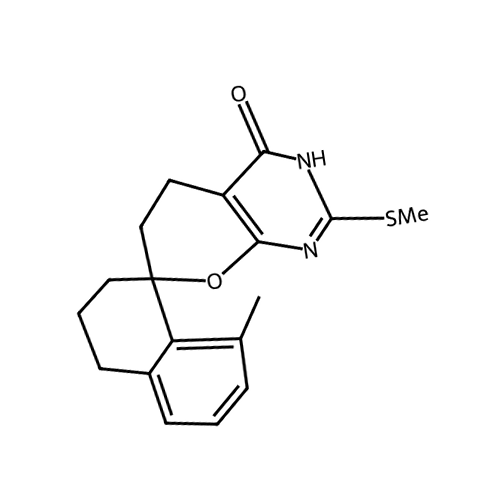 CSc1nc2c(c(=O)[nH]1)CCC1(CCCc3cccc(C)c31)O2